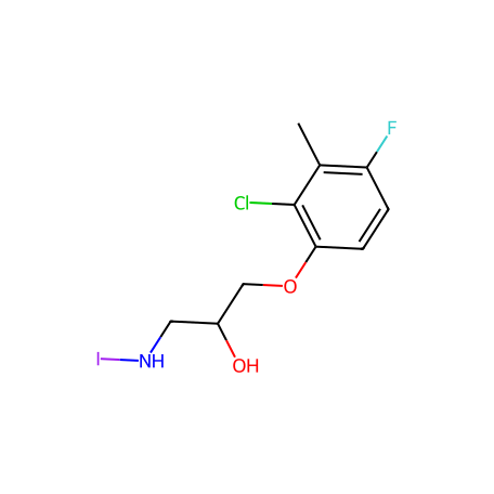 Cc1c(F)ccc(OCC(O)CNI)c1Cl